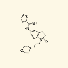 N=C(Nc1ccc2c(c1)CCC(=O)N2CCCN1CCOCC1)c1cccs1